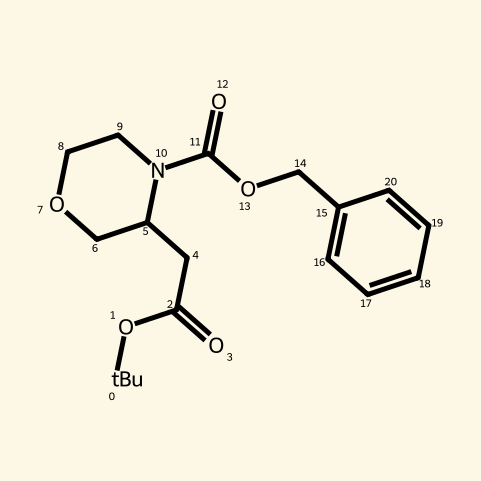 CC(C)(C)OC(=O)CC1COCCN1C(=O)OCc1ccccc1